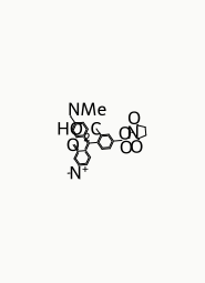 CNCc1ccc2c(-c3ccc(C(=O)ON4C(=O)CCC4=O)cc3C(=O)O)c3ccc(=[N+](C)C)cc-3oc2c1